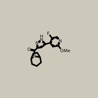 COc1cc(-c2cc(C(=O)N3C4CCCC3CC4)n[nH]2)c(F)cn1